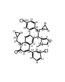 Cn1cncc1C(c1ccc2c(c1)c(-c1cccc(Cl)c1)cc(=O)n2CC1CC1)N(c1ccc(Cl)cc1)C1CC1